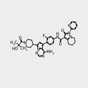 CC(C)(O)C(=O)N1CCC(c2cc(-c3ccc(NC(=O)c4c5n(n(-c6ccccn6)c4=O)CCCC5)cc3F)c3c(N)ncnn23)CC1